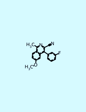 COc1ccc2c(C)nc(C#N)c(-c3cccc(F)c3)c2c1